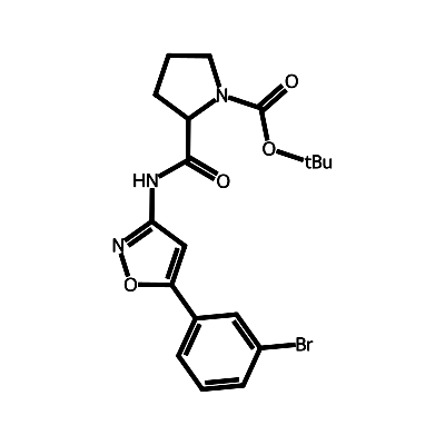 CC(C)(C)OC(=O)N1CCCC1C(=O)Nc1cc(-c2cccc(Br)c2)on1